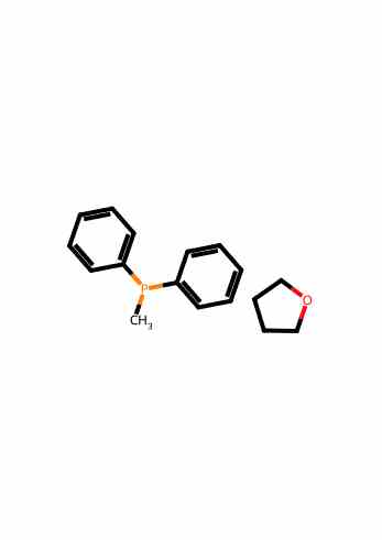 C1CCOC1.CP(c1ccccc1)c1ccccc1